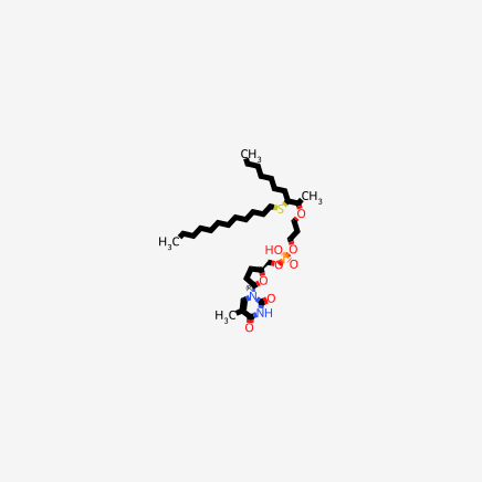 CCCCCCCCCCCCSC(CCCCCCC)C(C)OCCCOP(=O)(O)OC[C@@H]1CC[C@H](n2cc(C)c(=O)[nH]c2=O)O1